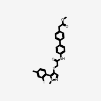 COC(=O)Cc1ccc(-c2ccc(NC(=O)CSc3cnn(C)c3-c3ccc(C)cc3I)cc2)cc1